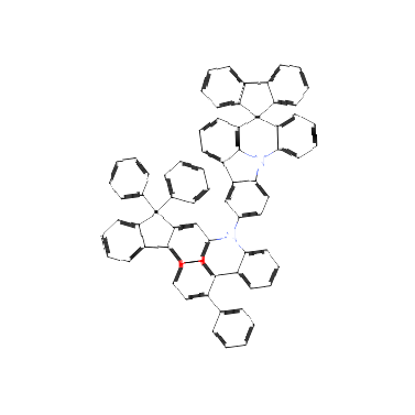 c1ccc(-c2ccccc2-c2ccccc2N(c2ccc3c(c2)C(c2ccccc2)(c2ccccc2)c2ccccc2-3)c2ccc3c(c2)c2cccc4c2n3-c2ccccc2C42c3ccccc3-c3ccccc32)cc1